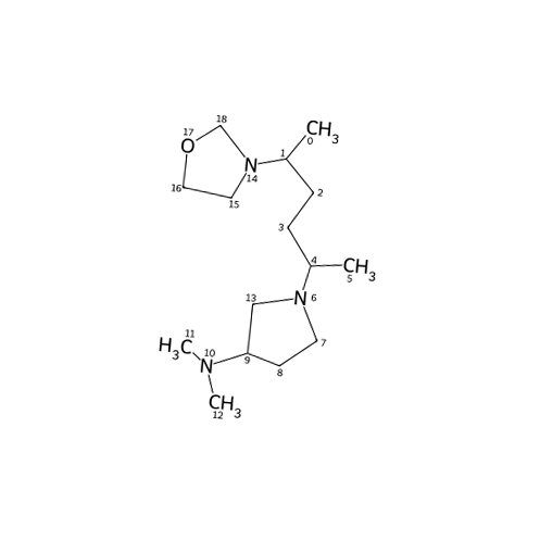 CC(CCC(C)N1CCC(N(C)C)C1)N1CCOC1